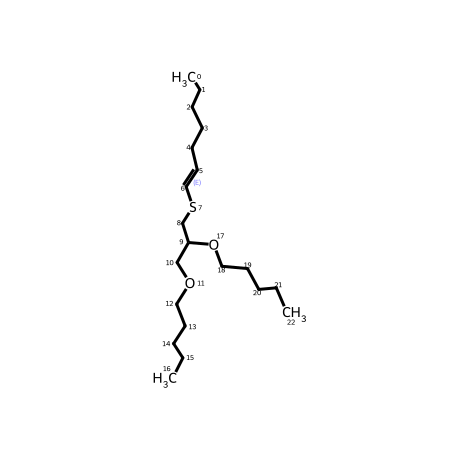 CCCCC/C=C/SCC(COCCCCC)OCCCCC